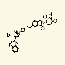 O=C1CCC(N2Cc3ccc(CC[C@H]4C[C@H](n5cc(-c6cnc7ccccc7n6)c(C6CC6)n5)C4)cc3C2=O)C(=O)N1